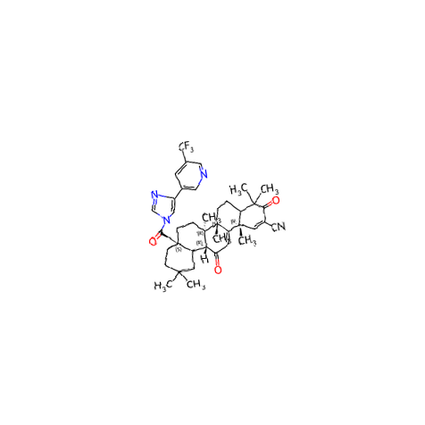 CC1(C)CC[C@]2(C(=O)n3cnc(-c4cncc(C(F)(F)F)c4)c3)CC[C@]3(C)[C@H](C(=O)C=C4[C@@]5(C)C=C(C#N)C(=O)C(C)(C)C5CC[C@]43C)C2C1